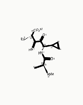 CC[C@@H](C(=N)C(=O)[C@@H](NC(=O)[C@H](C)NC)C1CC1)C(=O)O